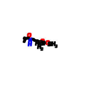 C=C(C)C(=O)NCCC[SiH2]O[SiH2]O[SiH3]